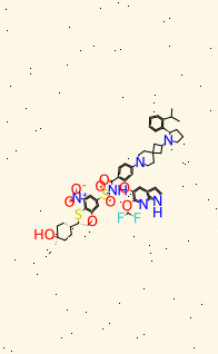 CC(C)c1ccccc1[C@H]1CCCN1C1CC2(CCN(c3ccc(C(=O)NS(=O)(=O)c4cc5c(c([N+](=O)[O-])c4)S[C@@H]([C@H]4CC[C@](C)(O)CC4)CO5)c(Oc4cc5cc[nH]c5nc4OC(F)F)c3)CC2)C1